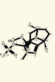 Cn1nc2c(c1OS(=O)(=O)C(F)(F)F)C[C@@H]1CC[C@H]2N1C(=O)OC(C)(C)C